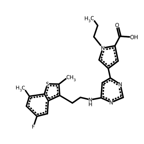 CCCn1cc(-c2cc(NCCc3c(C)sc4c(C)cc(F)cc34)ncn2)cc1C(=O)O